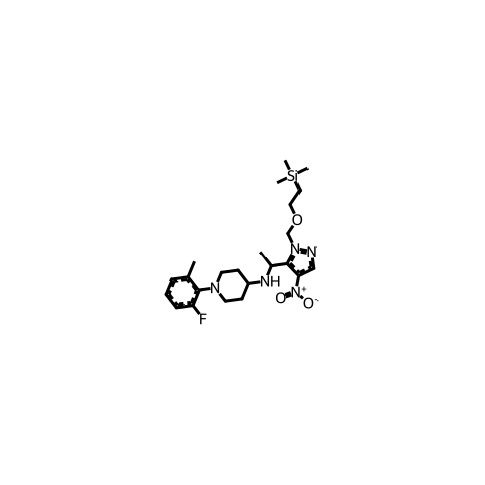 Cc1cccc(F)c1N1CCC(NC(C)c2c([N+](=O)[O-])cnn2COCC[Si](C)(C)C)CC1